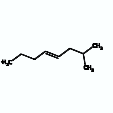 [CH2]CCC=CCC(C)C